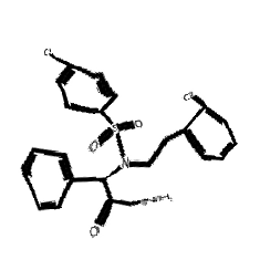 NC(=O)[C@@H](c1ccccc1)N(CCc1ccccc1Cl)S(=O)(=O)c1ccc(Cl)cc1